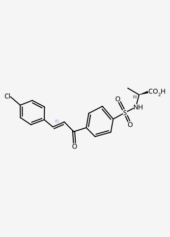 C[C@H](NS(=O)(=O)c1ccc(C(=O)/C=C/c2ccc(Cl)cc2)cc1)C(=O)O